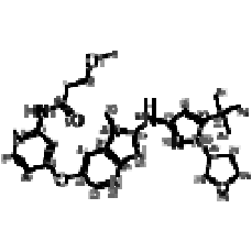 COCCC(=O)Nc1cc(Oc2cnc3nc(Nc4cc(C(C)(C)C)n([C@H]5CCOC5)n4)n(C)c3c2)ccn1